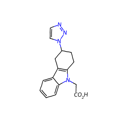 O=C(O)Cn1c2c(c3ccccc31)CC(n1ccnn1)CC2